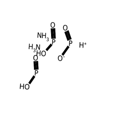 N.N.O=PO.O=PO.O=P[O-].[H+]